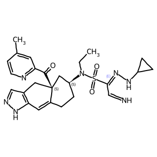 CCN([C@H]1CCC2=Cc3[nH]ncc3C[C@]2(C(=O)c2cc(C)ccn2)C1)S(=O)(=O)/C(C=N)=N/NC1CC1